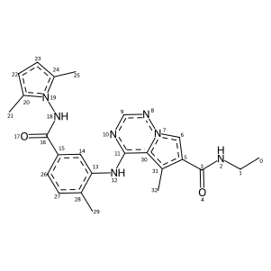 CCNC(=O)c1cn2ncnc(Nc3cc(C(=O)Nn4c(C)ccc4C)ccc3C)c2c1C